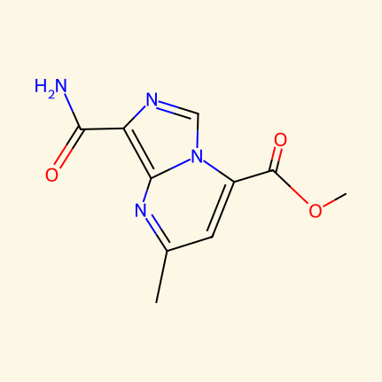 COC(=O)c1cc(C)nc2c(C(N)=O)ncn12